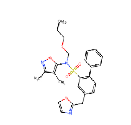 COCCOCN(c1onc(C)c1C)S(=O)(=O)c1cc(Cc2ncco2)ccc1-c1ccccc1